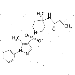 C=CC(=O)NC1(C)CCN(S(=O)(=O)c2cnn(-c3ccccc3)c2C)CC1